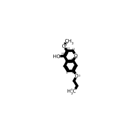 CCCOc1ccc2c(c1)OCC(OC)=C2O